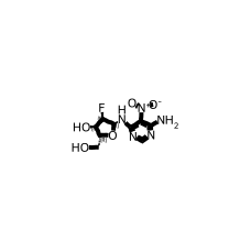 Nc1ncnc(N[C@@H]2O[C@H](CO)[C@@H](O)[C@H]2F)c1[N+](=O)[O-]